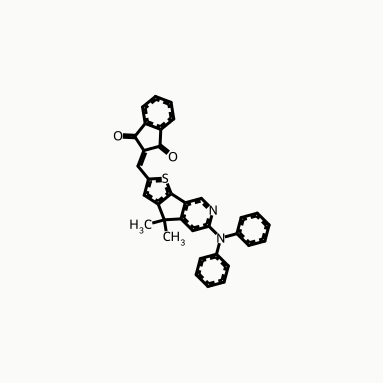 CC1(C)c2cc(N(c3ccccc3)c3ccccc3)ncc2-c2sc(C=C3C(=O)c4ccccc4C3=O)cc21